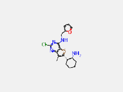 Cc1c([C@H]2CCCC[C@@H]2N)sc2c(NCc3ccco3)nc(Cl)nc12